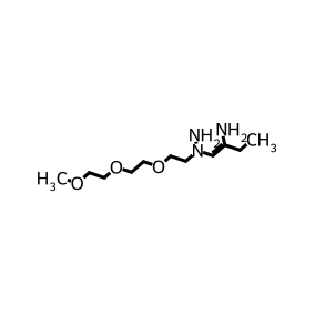 CC/C(N)=C/N(N)CCOCCOCCOC